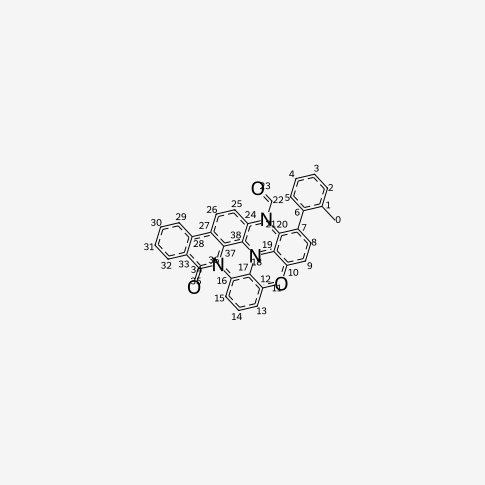 Cc1ccccc1-c1ccc2oc3cccc4c3-n3c2c1n(C=O)c1ccc2c5ccccc5c(=O)n4c2c13